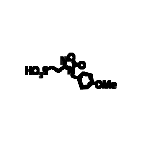 COc1ccc(Cn2c(CCS(=O)(=O)O)noc2=O)cc1